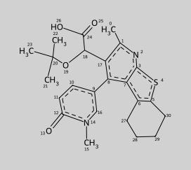 Cc1nc2sc3c(c2c(-c2ccc(=O)n(C)c2)c1C(OC(C)(C)C)C(=O)O)CCCC3